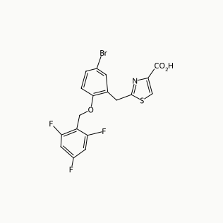 O=C(O)c1csc(Cc2cc(Br)ccc2OCc2c(F)cc(F)cc2F)n1